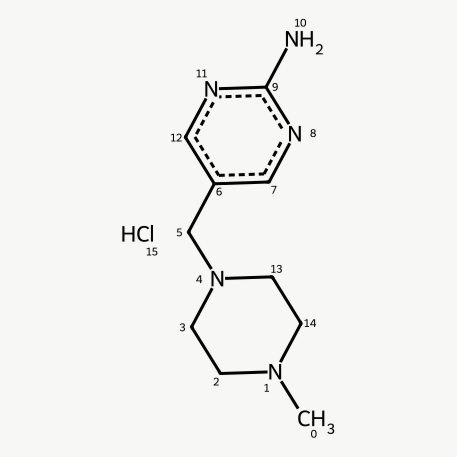 CN1CCN(Cc2cnc(N)nc2)CC1.Cl